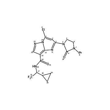 CCc1cc(N2CCN(C(C)C)C2=O)nc2c(C(=O)NC(C3CC3)C(F)(F)F)cnn12